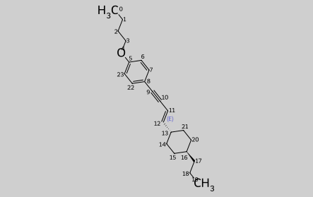 CCCCOc1ccc(C#C/C=C/[C@H]2CC[C@H](CCC)CC2)cc1